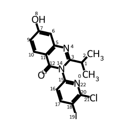 CC(C)c1nc2cc(O)ccc2c(=O)n1-c1ccc(I)c(Cl)n1